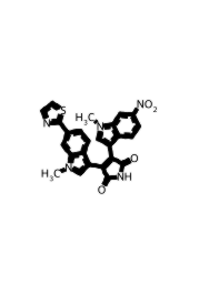 Cn1cc(C2=C(c3cn(C)c4cc([N+](=O)[O-])ccc34)C(=O)NC2=O)c2ccc(-c3nccs3)cc21